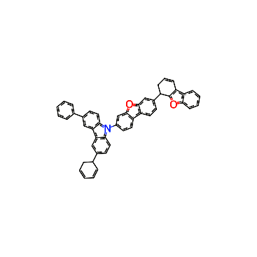 C1=CCC(c2ccc3c(c2)c2cc(-c4ccccc4)ccc2n3-c2ccc3c(c2)oc2cc(C4CC=Cc5c4oc4ccccc54)ccc23)C=C1